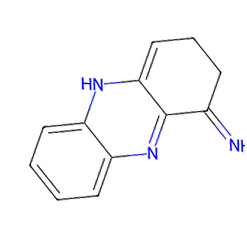 N=C1CCC=C2Nc3ccccc3N=C12